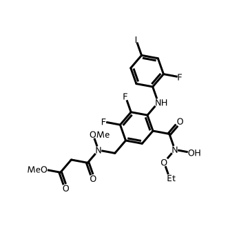 CCON(O)C(=O)c1cc(CN(OC)C(=O)CC(=O)OC)c(F)c(F)c1Nc1ccc(I)cc1F